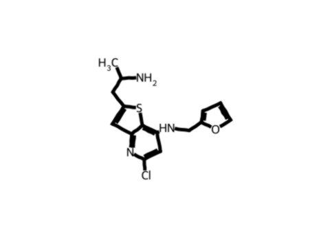 CC(N)Cc1cc2nc(Cl)cc(NCc3ccco3)c2s1